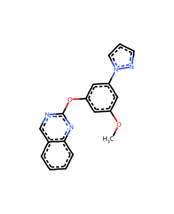 COc1cc(Oc2ncc3ccccc3n2)cc(-n2cccn2)c1